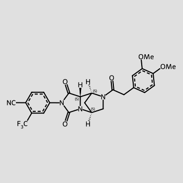 COc1ccc(CC(=O)N2C[C@@H]3C[C@H]2[C@H]2C(=O)N(c4ccc(C#N)c(C(F)(F)F)c4)C(=O)N32)cc1OC